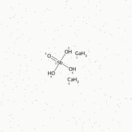 [CaH2].[GaH3].[O]=[Sb]([OH])([OH])[OH]